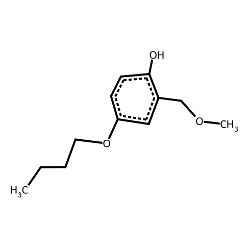 CCCCOc1ccc(O)c(COC)c1